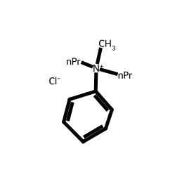 CCC[N+](C)(CCC)c1ccccc1.[Cl-]